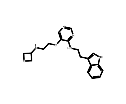 c1ccc2c(CCNc3ncncc3OCCNC3COC3)c[nH]c2c1